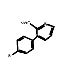 O=Cc1ncccc1-c1ccc(Br)cc1